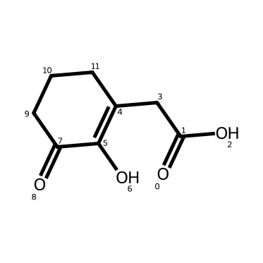 O=C(O)CC1=C(O)C(=O)CCC1